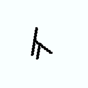 CCCCCCCCCP(CCCCCCCCC)CCCP(CCCCCCCCC)CCCCCCCCC